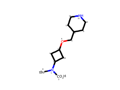 CC(C)(C)N(C(=O)O)C1CC(OCC2CCNCC2)C1